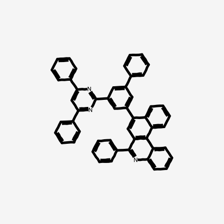 c1ccc(-c2cc(-c3nc(-c4ccccc4)cc(-c4ccccc4)n3)cc(-c3cc4c(-c5ccccc5)nc5ccccc5c4c4ccccc34)c2)cc1